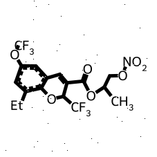 CCc1cc(OC(F)(F)F)cc2c1OC(C(F)(F)F)C(C(=O)OC(C)CO[N+](=O)[O-])=C2